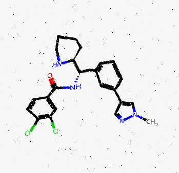 Cn1cc(-c2cccc([C@H](NC(=O)c3ccc(Cl)c(Cl)c3)[C@@H]3CCCCN3)c2)cn1